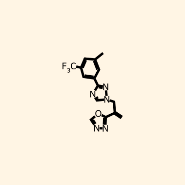 C=C(Cn1cnc(-c2cc(C)cc(C(F)(F)F)c2)n1)c1nnco1